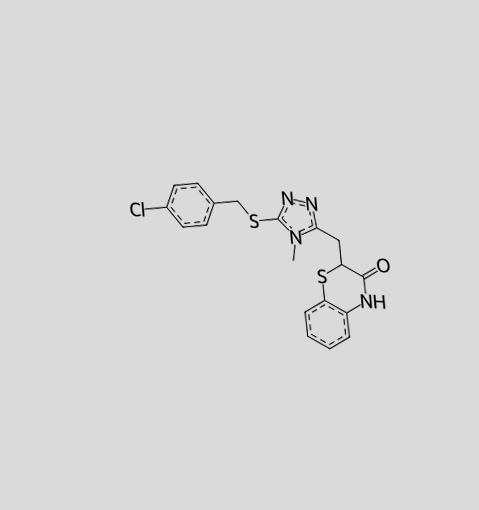 Cn1c(CC2Sc3ccccc3NC2=O)nnc1SCc1ccc(Cl)cc1